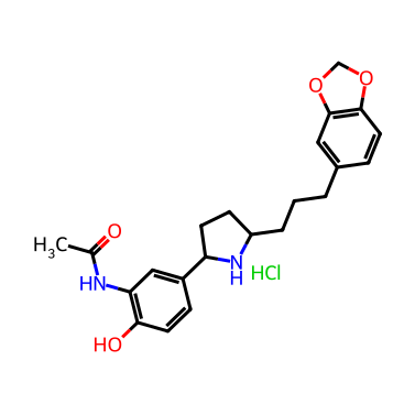 CC(=O)Nc1cc(C2CCC(CCCc3ccc4c(c3)OCO4)N2)ccc1O.Cl